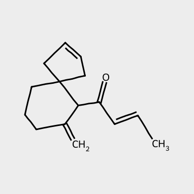 C=C1CCCC2(CC=CC2)C1C(=O)C=CC